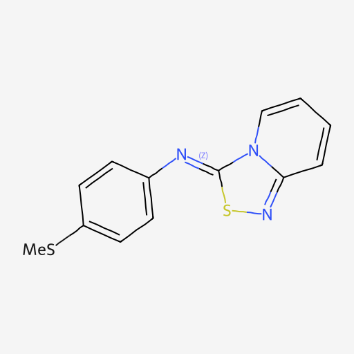 CSc1ccc(/N=c2\snc3ccccn23)cc1